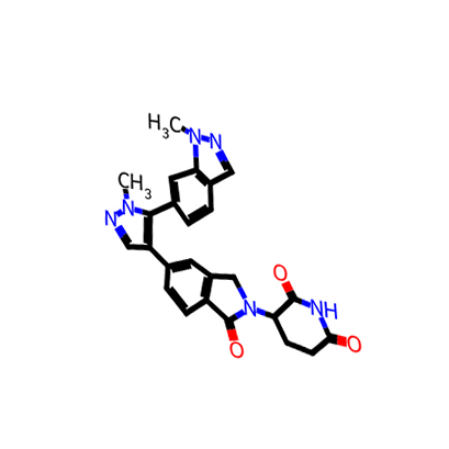 Cn1ncc(-c2ccc3c(c2)CN(C2CCC(=O)NC2=O)C3=O)c1-c1ccc2cnn(C)c2c1